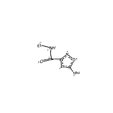 CCNC(=O)c1cc(C(C)(C)C)on1